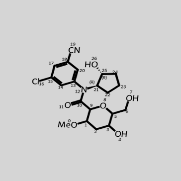 COC1CC(O)C(CO)OC1C(=O)N(c1cc(Cl)cc(C#N)c1)[C@@H]1CCC[C@H]1O